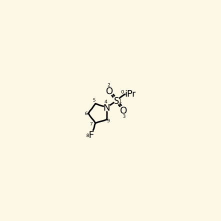 CC(C)S(=O)(=O)N1CCC(F)C1